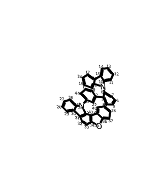 c1cc(-c2ccccc2-n2c3ccccc3c3ccccc32)cc(-n2c3ccccc3c3ccc4oc5ccccc5c4c32)c1